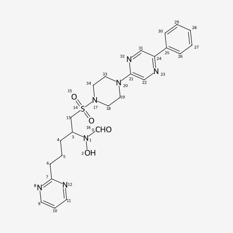 O=CN(O)C(CCCc1ncccn1)CS(=O)(=O)N1CCN(c2cnc(-c3ccccc3)cn2)CC1